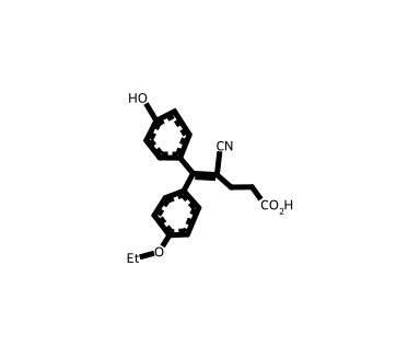 CCOc1ccc(C(=C(C#N)CCC(=O)O)c2ccc(O)cc2)cc1